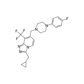 Fc1ccc(N2CCN(Cc3ccn4c(CC5CC5)nnc4c3C(F)(F)F)CC2)cc1